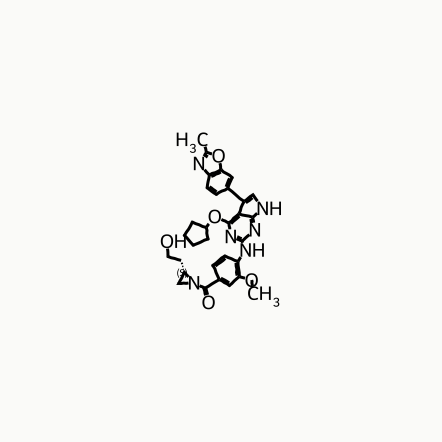 COc1cc(C(=O)N2C[C@@H]2CCO)ccc1Nc1nc(OC2CCCC2)c2c(-c3ccc4nc(C)oc4c3)c[nH]c2n1